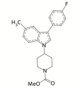 COC(=O)N1CCC(n2cc(-c3ccc(F)cc3)c3cc(C)ccc32)CC1